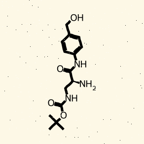 CC(C)(C)OC(=O)NC[C@H](N)C(=O)Nc1ccc(CO)cc1